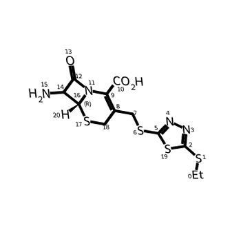 CCSc1nnc(SCC2=C(C(=O)O)N3C(=O)C(N)[C@H]3SC2)s1